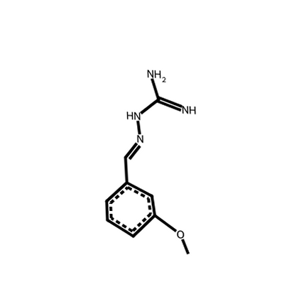 COc1cccc(C=NNC(=N)N)c1